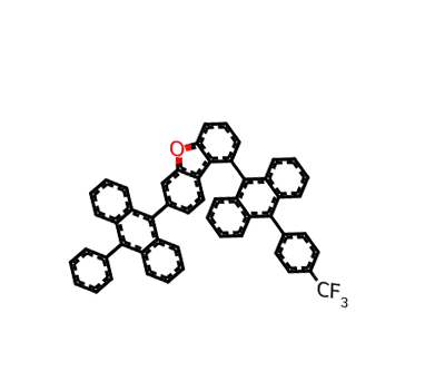 FC(F)(F)c1ccc(-c2c3ccccc3c(-c3cccc4oc5cc(-c6c7ccccc7c(-c7ccccc7)c7ccccc67)ccc5c34)c3ccccc23)cc1